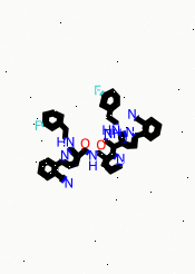 N#Cc1ccccc1-c1ccc(C(=O)NCc2cccnc2C(C(N)=O)c2ccc(-c3ccccc3C#N)nc2NCCc2cccc(F)c2)c(NCCc2cccc(F)c2)n1